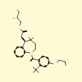 C[C@@H](F)COc1ccc(C(=O)N2CCC(F)(F)/C(=C\C(=O)NC[C@@H](O)CO)c3ccccc32)c(C(F)(F)F)c1